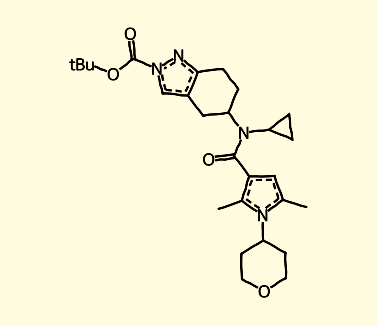 Cc1cc(C(=O)N(C2CC2)C2CCc3nn(C(=O)OC(C)(C)C)cc3C2)c(C)n1C1CCOCC1